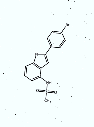 CS(=O)(=O)Nc1cccc2c1C=C(c1ccc(Br)cc1)[N]2